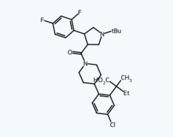 CCC(C)(C(=O)O)c1cc(Cl)ccc1C1CCN(C(=O)C2CN(C(C)(C)C)CC2c2ccc(F)cc2F)CC1